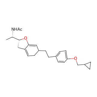 CC(=O)N[C@@H](C)[C@H]1CC2=CCC(CCc3ccc(OCC4CC4)cc3)C=C2O1